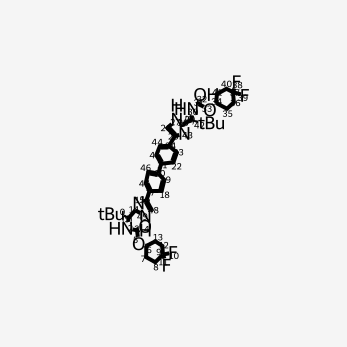 CC(C)(C)[C@H](NC(=O)OC1CCC(F)(F)CC1)c1nc(-c2ccc(-c3ccc(-c4c[nH]c([C@@H](NC(O)OC5CCC(F)(F)CC5)C(C)(C)C)n4)cc3)cc2)c[nH]1